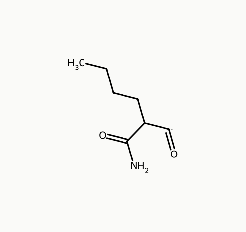 CCCCC([C]=O)C(N)=O